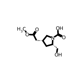 COC(=O)C[C@H]1C[C@@H](CO)N(C(=O)O)C1